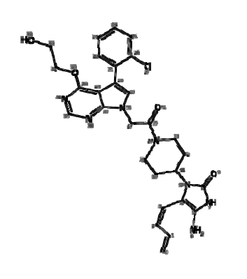 C=C/C=C\c1c(N)[nH]c(=O)n1C1CCN(C(=O)Cn2cc(-c3ccccc3Cl)c3c(OCCO)ncnc32)CC1